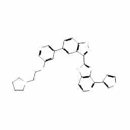 c1cc2[nH]c(-c3n[nH]c4ccc(-c5cncc(OCCN6CCCC6)c5)cc34)nc2c(-c2ccoc2)n1